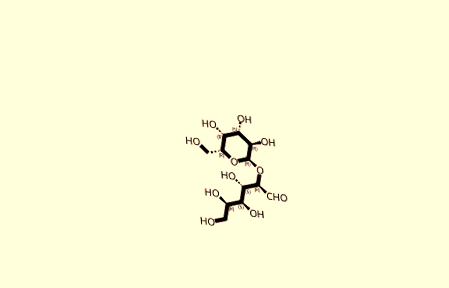 O=C[C@H](O[C@H]1O[C@H](CO)[C@H](O)[C@H](O)[C@H]1O)[C@@H](O)[C@@H](O)[C@H](O)CO